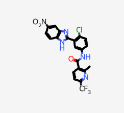 Cc1nc(C(F)(F)F)ccc1C(=O)Nc1ccc(Cl)c(-c2nc3cc([N+](=O)[O-])ccc3[nH]2)c1